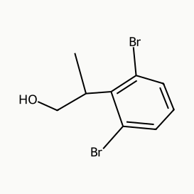 CC(CO)c1c(Br)cccc1Br